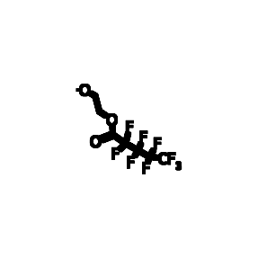 [O]CCOC(=O)C(F)(F)C(F)(F)C(F)(F)C(F)(F)F